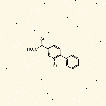 CCc1cc(C(C(C)=O)C(=O)O)ccc1-c1ccccc1